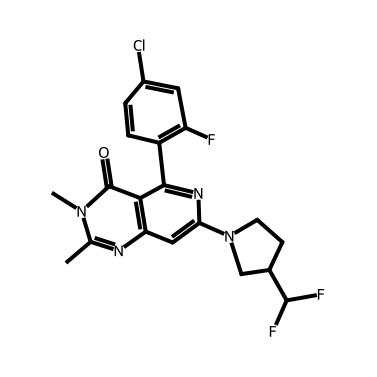 Cc1nc2cc(N3CCC(C(F)F)C3)nc(-c3ccc(Cl)cc3F)c2c(=O)n1C